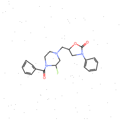 O=C1OC([CH]N2CCN(C(=O)c3ccccc3)C(F)C2)CN1c1ccccc1